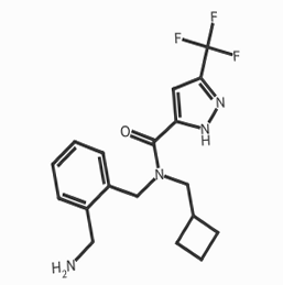 NCc1ccccc1CN(CC1CCC1)C(=O)c1cc(C(F)(F)F)n[nH]1